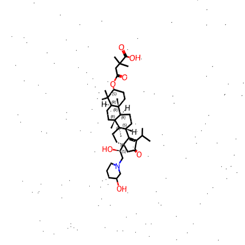 CC(C)C1=C2[C@H]3CC[C@@H]4[C@@]5(C)CC[C@H](OC(=O)CC(C)(C)C(=O)O)C(C)(C)[C@@H]5CC[C@@]4(C)[C@]3(C)CC[C@@]2([C@H](O)CN2CCCC(O)C2)CC1=O